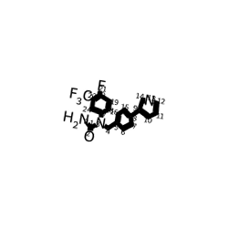 NC(=O)N(Cc1ccc(-c2cccnc2)cc1)c1ccc(F)c(C(F)(F)F)c1